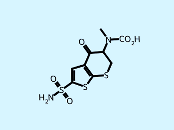 CN(C(=O)O)C1CSc2sc(S(N)(=O)=O)cc2C1=O